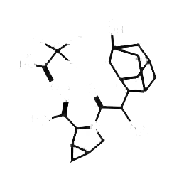 NC(=O)C1C2CC2CN1C(=O)C(N)C1C2CC3CC1CC(O)(C3)C2.O=C(O)C(F)(F)F